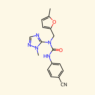 Cc1ccc(CN(C(=O)Nc2ccc(C#N)cc2)c2ncnn2C)o1